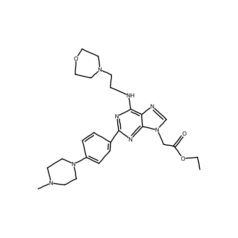 CCOC(=O)Cn1cnc2c(NCCN3CCOCC3)nc(-c3ccc(N4CCN(C)CC4)cc3)nc21